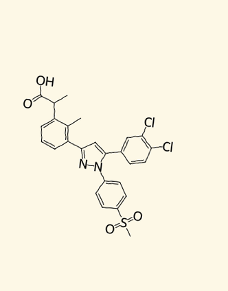 Cc1c(-c2cc(-c3ccc(Cl)c(Cl)c3)n(-c3ccc(S(C)(=O)=O)cc3)n2)cccc1C(C)C(=O)O